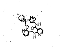 CN1CCC(CCOc2ncccc2CNc2ncccc2C(=O)Nc2cc(C(C)(C)C)no2)CC1